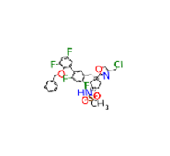 CS(=O)(=O)N[C@H]1CC[C@](Cc2cc(-c3cc(F)cc(F)c3OCc3ccccc3)c(F)cc2F)(c2nc(CCl)co2)C1